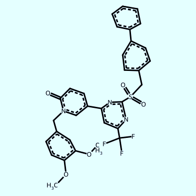 COc1ccc(Cn2cc(-c3cc(C(F)(F)F)nc(S(=O)(=O)Cc4ccc(-c5ccccc5)cc4)n3)ccc2=O)cc1OC